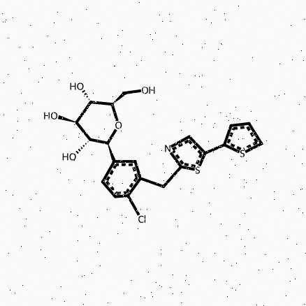 OC[C@H]1O[C@@H](c2ccc(Cl)c(Cc3ncc(-c4cccs4)s3)c2)[C@H](O)[C@@H](O)[C@@H]1O